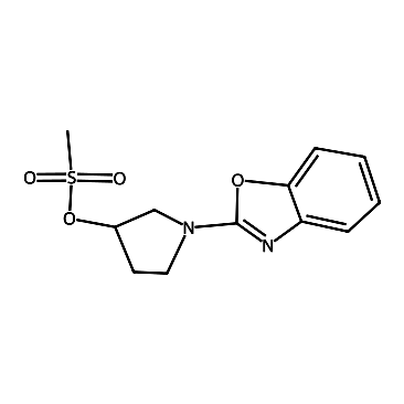 CS(=O)(=O)OC1CCN(c2nc3ccccc3o2)C1